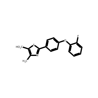 Cc1nc(-c2ccc(Oc3ccccc3F)cc2)sc1C(=O)O